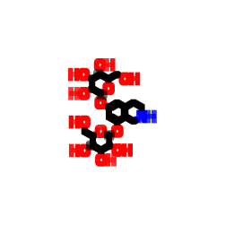 OCC1O[C@@H](Oc2cc3c(c(O[C@@H]4OC(CO)[C@@H](O)C(O)C4O)c2)CNCC3)C(O)C(O)[C@@H]1O